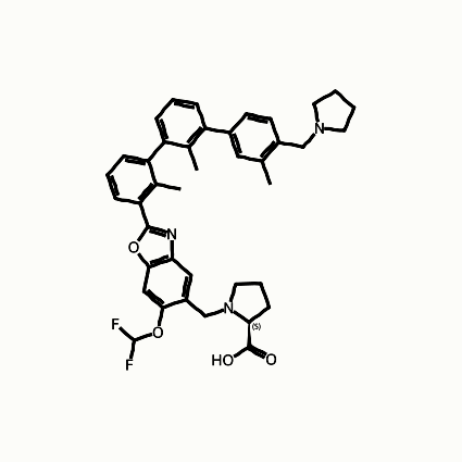 Cc1cc(-c2cccc(-c3cccc(-c4nc5cc(CN6CCC[C@H]6C(=O)O)c(OC(F)F)cc5o4)c3C)c2C)ccc1CN1CCCC1